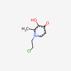 Cc1c(O)c(=O)ccn1CCCl